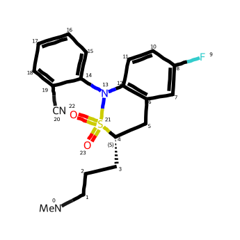 CNCCC[C@H]1Cc2cc(F)ccc2N(c2ccccc2C#N)S1(=O)=O